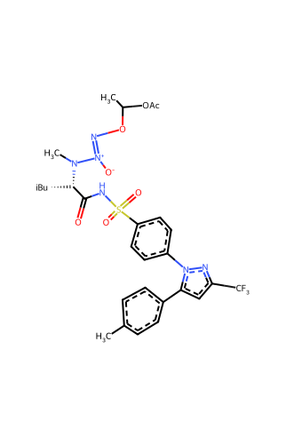 CC[C@@H](C)[C@@H](C(=O)NS(=O)(=O)c1ccc(-n2nc(C(F)(F)F)cc2-c2ccc(C)cc2)cc1)N(C)[N+]([O-])=NOC(C)OC(C)=O